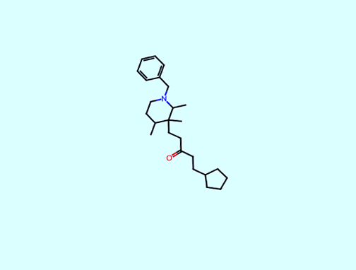 CC1CCN(Cc2ccccc2)C(C)C1(C)CCC(=O)CCC1CCCC1